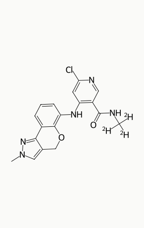 [2H]C([2H])([2H])NC(=O)c1cnc(Cl)cc1Nc1cccc2c1OCc1cn(C)nc1-2